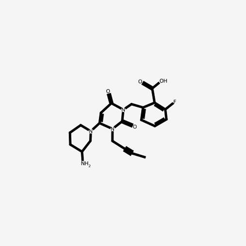 CC#CCn1c(N2CCCC(N)C2)cc(=O)n(Cc2cccc(F)c2C(=O)O)c1=O